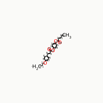 [CH2]CCOc1ccc(/C=C/C(=O)Oc2ccc(OC(=O)CCCC)cc2)cc1